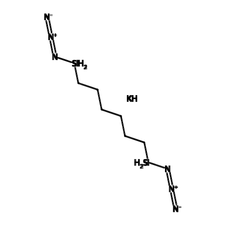 [KH].[N-]=[N+]=N[SiH2]CCCCCC[SiH2]N=[N+]=[N-]